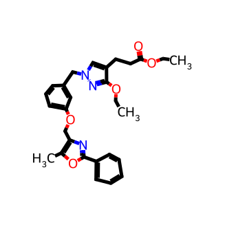 CCOC(=O)CCc1cn(Cc2cccc(OCc3nc(-c4ccccc4)oc3C)c2)nc1OCC